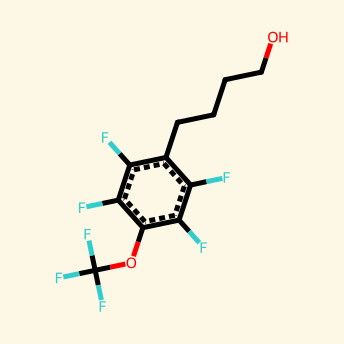 OCCCCc1c(F)c(F)c(OC(F)(F)F)c(F)c1F